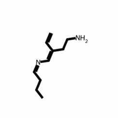 C=C/C(=C\N=C/CCC)CCN